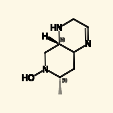 C[C@H]1CC2N=CCN[C@H]2CN1O